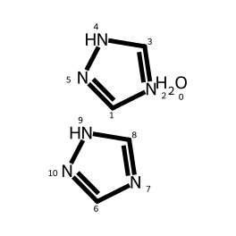 O.c1nc[nH]n1.c1nc[nH]n1